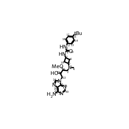 CO[C@H](CN(C)C1CC(NC(=O)Nc2ccc(C(C)(C)C)cc2)C1)[C@@H](O)Cn1cnc2c(N)ncnc21